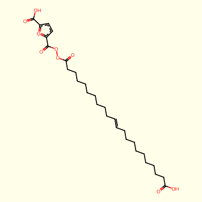 O=C(O)CCCCCCCCC/C=C/CCCCCCCCCC(=O)OOC(=O)c1ccc(C(=O)O)o1